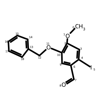 COc1cc(I)c(C=O)cc1OCc1ccccc1